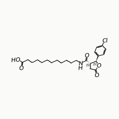 O=C(O)CCCCCCCCCCCNC(=O)[C@H]1CC(=O)O[C@@H]1c1ccc(Cl)cc1